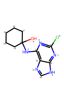 OC1(Nc2nc(Cl)nc3[nH]cnc23)CCCCC1